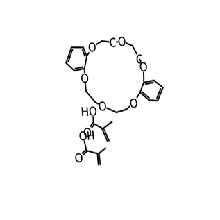 C=C(C)C(=O)O.C=C(C)C(=O)O.c1ccc2c(c1)OCCOCCOc1ccccc1OCCOCCO2